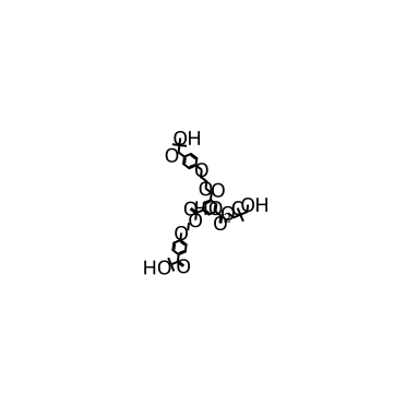 CC(C)(O)C(=O)c1ccc(OCCOC(=O)c2cc(C(=O)OCCOc3ccc(C(=O)C(C)(C)O)cc3)cc(C(=O)OCC(C)(CO)C(=O)O)c2)cc1